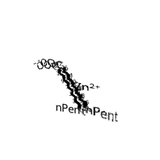 CCCCCC=CCCCCCCCCCCC(=O)[O-].CCCCCC=CCCCCCCCCCCC(=O)[O-].[Zn+2]